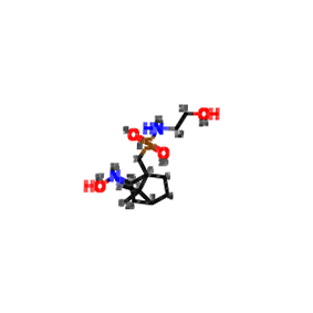 CC1(C)C2CCC1(CS(=O)(=O)NCCO)/C(=N/O)C2